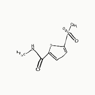 CNC(=O)c1ccc(S(=O)(=O)O)o1